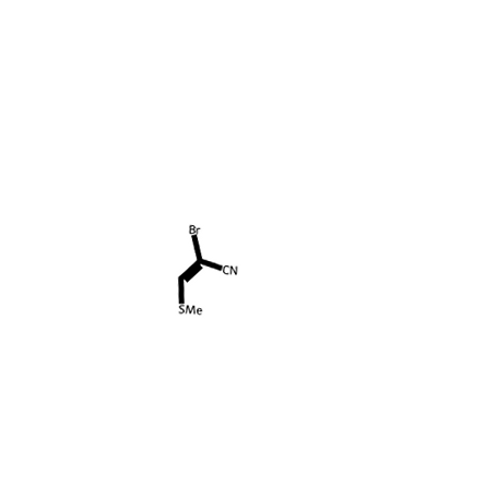 CS/C=C(/Br)C#N